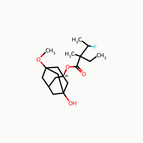 CCC(C)(C(=O)O[C@@]12CC3CC(O)(CC(OC)(C3)C1)C2)C(C)F